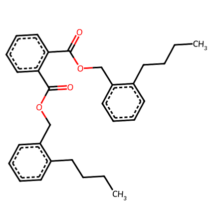 CCCCc1ccccc1COC(=O)c1ccccc1C(=O)OCc1ccccc1CCCC